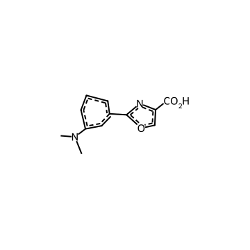 CN(C)c1cccc(-c2nc(C(=O)O)co2)c1